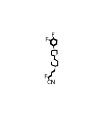 N#CC(F)=CC=C[C@H]1CC[C@H]([C@H]2CC[C@H](c3ccc(F)c(F)c3)CC2)CC1